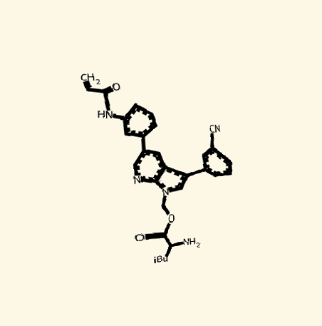 C=CC(=O)Nc1cccc(-c2cnc3c(c2)c(-c2cccc(C#N)c2)cn3COC(=O)C(N)C(C)CC)c1